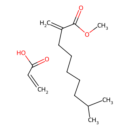 C=C(CCCCCC(C)C)C(=O)OC.C=CC(=O)O